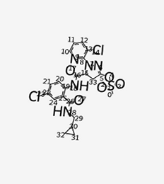 CS(=O)(=O)OC1=NN(c2ncccc2Cl)C(C(=O)Nc2ccc(Cl)cc2C(=O)NCC2CC2)C1